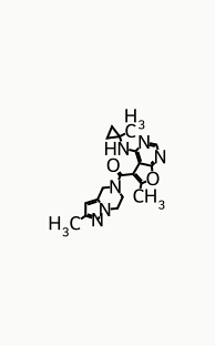 Cc1cc2n(n1)CCN(C(=O)c1c(C)oc3ncnc(NC4(C)CC4)c13)C2